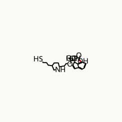 O=P(O)(O)C1(P(=O)(O)OCCC2CCC(CCCS)CN2)C=Cc2ccccc21